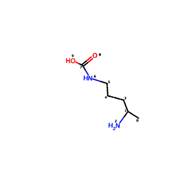 CC(N)CCCNC(=O)O